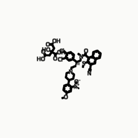 COc1ccc(C2CCN(CC[C@H](CN(C)C(=O)c3c(SC)c(C#N)cc4ccccc34)c3ccc(Cl)c(Cl)c3)CC2)c([S@+](C)[O-])c1.O=C(O)CC(O)(CC(=O)O)C(=O)O